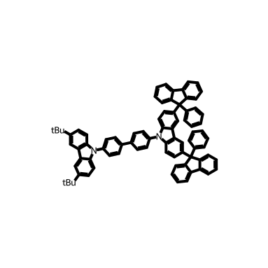 CC(C)(C)c1ccc2c(c1)c1cc(C(C)(C)C)ccc1n2-c1ccc(-c2ccc(-n3c4ccc(C5(c6ccccc6)c6ccccc6-c6ccccc65)cc4c4cc(C5(c6ccccc6)c6ccccc6-c6ccccc65)ccc43)cc2)cc1